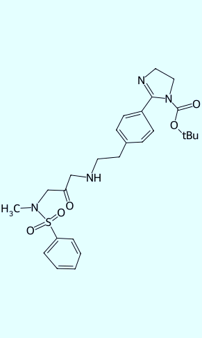 CN(CC(=O)CNCCc1ccc(C2=NCCN2C(=O)OC(C)(C)C)cc1)S(=O)(=O)c1ccccc1